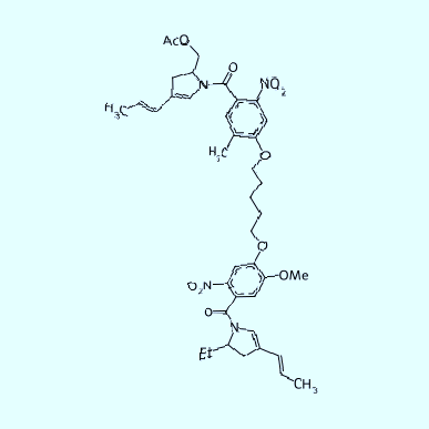 C/C=C/C1=CN(C(=O)c2cc(OC)c(OCCCCCOc3cc([N+](=O)[O-])c(C(=O)N4C=C(/C=C/C)CC4COC(C)=O)cc3C)cc2[N+](=O)[O-])C(CC)C1